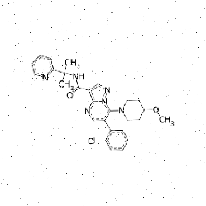 COC1CCN(c2c(-c3ccccc3Cl)cnc3c(C(=O)NC(C)(C)c4ccccn4)cnn23)CC1